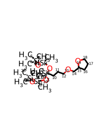 C[SiH](O[Si](C)(C)C)O[Si](C)(CCCOCC1CCCO1)O[Si](C)(C)O[Si](C)(C)C